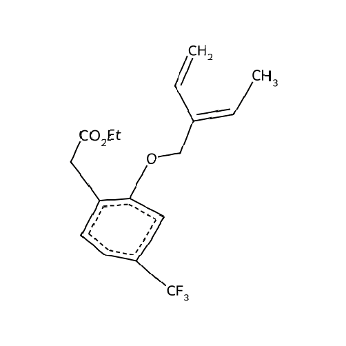 C=C/C(=C\C)COc1cc(C(F)(F)F)ccc1CC(=O)OCC